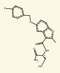 Cc1oc2ccc(OCc3ccc(F)cn3)cc2c1C(=O)N[C@@H](CO)C(N)=O